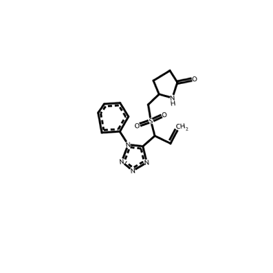 C=CC(c1nnnn1-c1ccccc1)S(=O)(=O)CC1CCC(=O)N1